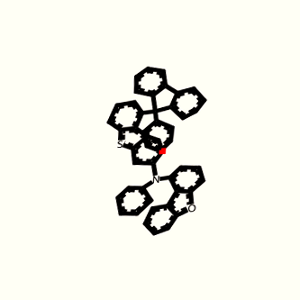 c1ccc(N(c2ccc3c(c2)sc2cccc(C4(c5ccccc5)c5ccccc5-c5ccccc54)c23)c2cccc3oc4ccccc4c23)cc1